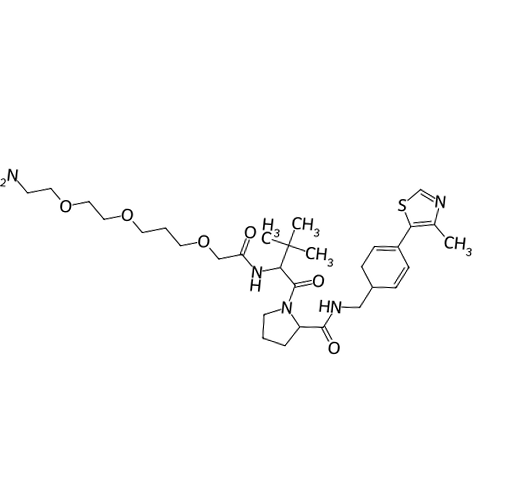 Cc1ncsc1C1=CCC(CNC(=O)C2CCCN2C(=O)C(NC(=O)COCCCOCCOCCN)C(C)(C)C)C=C1